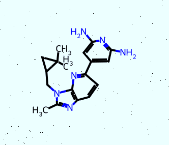 Cc1nc2ccc(-c3cc(N)nc(N)c3)nc2n1CC1CC1(C)C